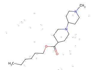 CCCCCCOC(=O)C1CCN(C2CCN(C)CC2)CC1